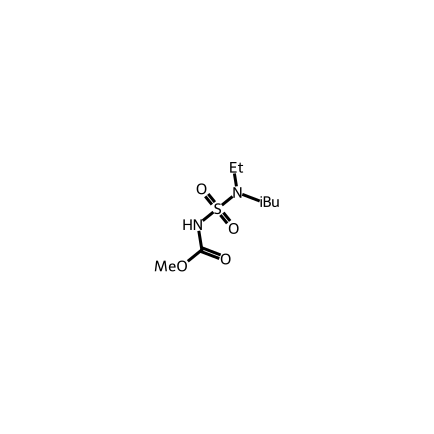 CCC(C)N(CC)S(=O)(=O)NC(=O)OC